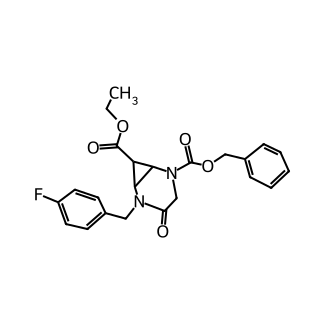 CCOC(=O)C1C2C1N(C(=O)OCc1ccccc1)CC(=O)N2Cc1ccc(F)cc1